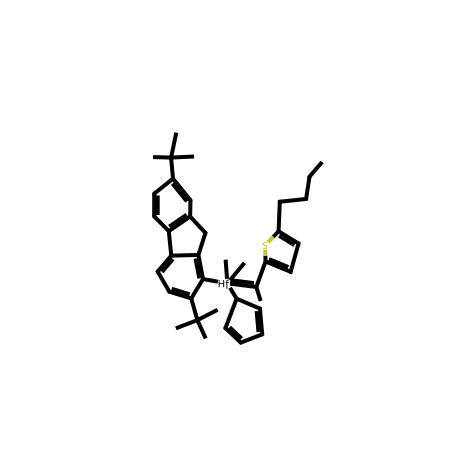 CCCCc1ccc([C](C)=[Hf]([CH3])([CH3])([c]2c(C(C)(C)C)ccc3c2Cc2cc(C(C)(C)C)ccc2-3)[CH]2C=CC=C2)s1